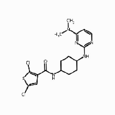 CN(C)c1ccnc(NC2CCC(NC(=O)c3cc(Cl)sc3Cl)CC2)n1